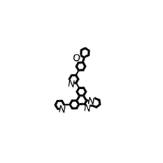 c1ccc(-c2ccc3c(c2)c2cc(-c4cc(-c5ccc6c(c5)oc5ccccc56)ccn4)ccc2c2c3nc3ccccn32)nc1